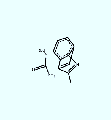 CC(C)(C)OC(N)=O.CC1=Nc2c3cccc2C1=C3